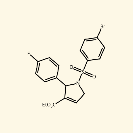 CCOC(=O)C1=CCN(S(=O)(=O)c2ccc(Br)cc2)C1c1ccc(F)cc1